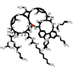 C=CCOC(=O)/C=N/[C@H](CC(C)C)C(=O)N[C@H]1C(=O)N[C@@H](CC(=O)NC(=O)NCCCCCCCC)C(=O)N[C@H]2C(=O)N[C@H]3C(=O)N[C@H](C(=O)N[C@H](C(=O)OCC=C)c4cc(OCC=C)cc(OCC=C)c4-c4cc3ccc4OCC=C)[C@H](O)c3ccc(c(Cl)c3)Oc3cc2cc(c3OC)Oc2ccc(cc2Cl)[C@H]1O